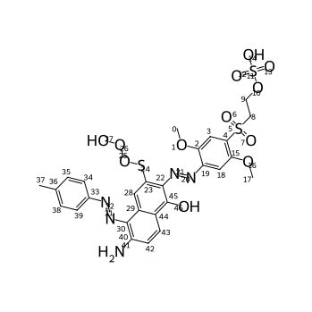 COc1cc(S(=O)(=O)CCOS(=O)(=O)O)c(OC)cc1N=Nc1c(SOOO)cc2c(N=Nc3ccc(C)cc3)c(N)ccc2c1O